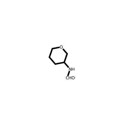 O=[C]NC1CCCOC1